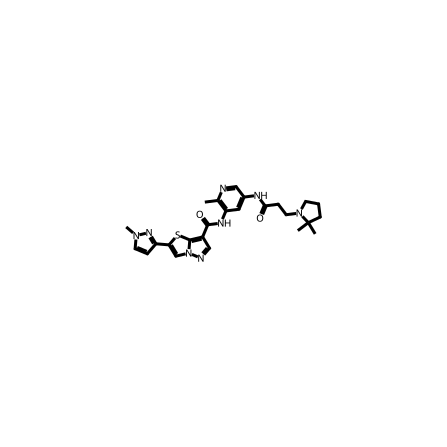 Cc1ncc(NC(=O)CCN2CCCC2(C)C)cc1NC(=O)c1cnn2cc(-c3ccn(C)n3)sc12